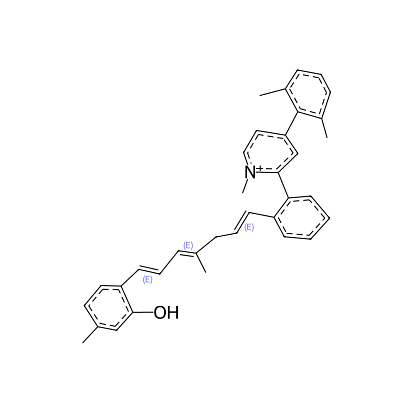 C/C(=C\C=C\c1ccc(C)cc1O)C/C=C/c1ccccc1-c1cc(-c2c(C)cccc2C)cc[n+]1C